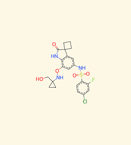 O=C1Nc2c(ONC3(CO)CC3)cc(NS(=O)(=O)c3ccc(Cl)cc3F)cc2C12CCC2